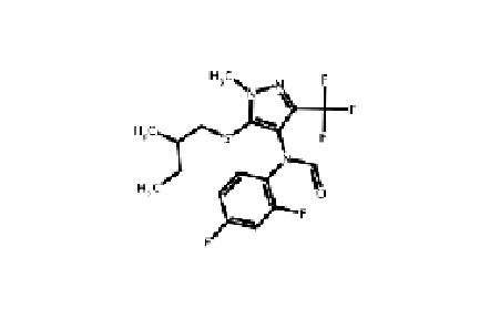 CCC(C)CSc1c(N(C=O)c2ccc(F)cc2F)c(C(F)(F)F)nn1C